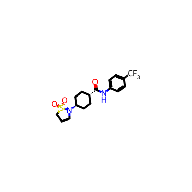 O=C(Nc1ccc(C(F)(F)F)cc1)[C@H]1CC[C@H](N2CCCS2(=O)=O)CC1